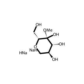 CO[C@]1(O)[C@H](O)[C@@H](O)[CH]O[C@@H]1CO.[NaH].[NaH]